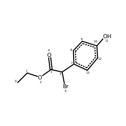 CCOC(=O)C(Br)c1ccc(O)cc1